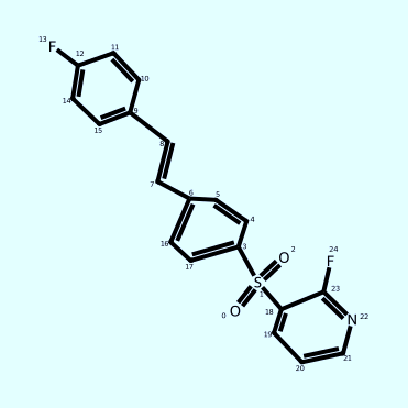 O=S(=O)(c1ccc(C=Cc2ccc(F)cc2)cc1)c1cccnc1F